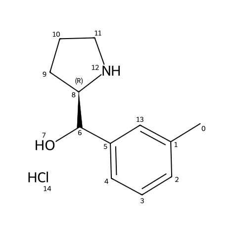 Cc1cccc(C(O)[C@H]2CCCN2)c1.Cl